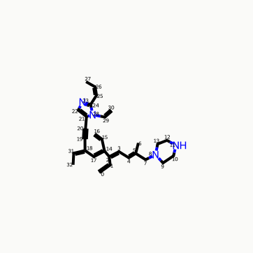 C=CC(=C\C=C(/C)CN1CCNCC1)/C(C=C)=C/C(C#Cc1cnc(/C=C\C)n1C=C)=C\C